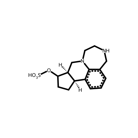 O=S(=O)(O)OC1CC[C@@H]2c3cccc4c3N(CCNC4)C[C@H]12